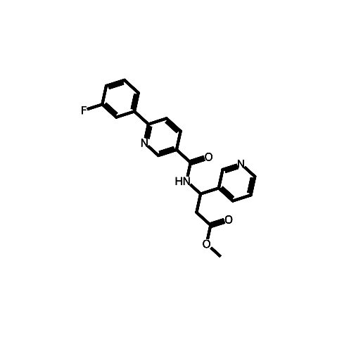 COC(=O)CC(NC(=O)c1ccc(-c2cccc(F)c2)nc1)c1cccnc1